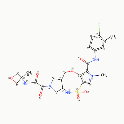 Cc1cc(NC(=O)c2c3c(cn2C)S(=O)(=O)NC2CN(C(=O)C(=O)NC4(C)COC4)CC2CO3)ccc1F